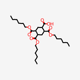 CCCCCCOC(=O)C1CC(C(=O)OCCCCCC)C(C(=O)OCCCCCC)CC1C(=O)O